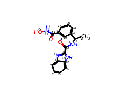 CC(NC(=O)c1nc2ccccc2[nH]1)c1cccc(C(=O)NO)c1